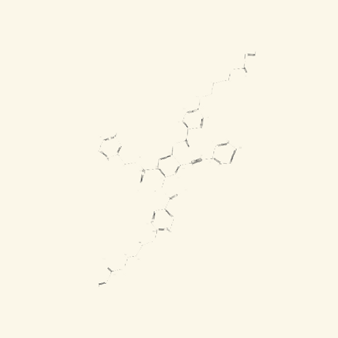 C=CC(=O)OCCCOc1ccc(C(=O)Oc2cc(C(=O)OCc3ccccc3)c(OC(=O)c3ccc(OCCCOC(=O)C=C)cc3)cc2C#Cc2ccccc2)cc1